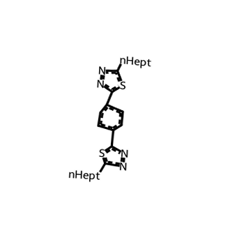 CCCCCCCc1nnc(-c2ccc(-c3nnc(CCCCCCC)s3)cc2)s1